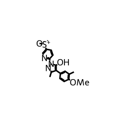 COc1ccc(-c2c(C)nn(-c3ccc([S+](C)[O-])cn3)c2O)cc1C